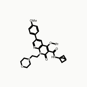 COc1ccc(-c2cnc3c(c2)c(OC(C)C)c(C(=O)NC24CC(C2)C4)c(=O)n3CCN2CCOCC2)cc1